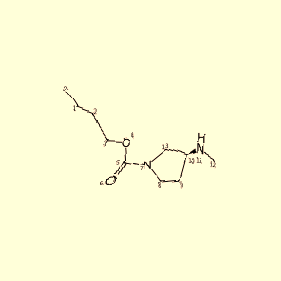 CCCCOC(=O)N1CC[C@H](NC)C1